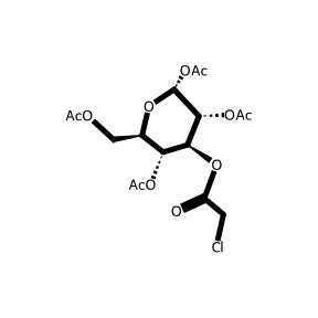 CC(=O)OC[C@H]1O[C@H](OC(C)=O)[C@H](OC(C)=O)[C@@H](OC(=O)CCl)[C@@H]1OC(C)=O